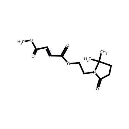 COC(=O)/C=C/C(=O)OCCN1C(=O)CCC1(C)C